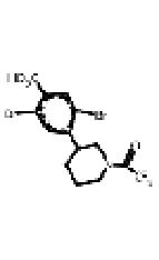 O=C(O)c1cc(Br)c(C2CCCN(C(=O)C(F)(F)F)C2)cc1Br